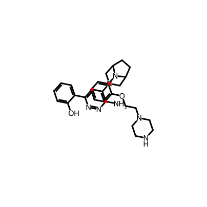 Nc1nnc(-c2ccccc2O)cc1N1CC2CCC(C1)N2c1ccccc1OCCN1CCNCC1